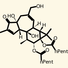 CCCCCC(=O)O[C@@H]1[C@@H](C)[C@@]2(O)[C@@H](C=C(CO)C[C@]3(O)C(=O)C(C)=C[C@@H]23)[C@@H]2C(C)(C)[C@]12OC(=O)CCCCC